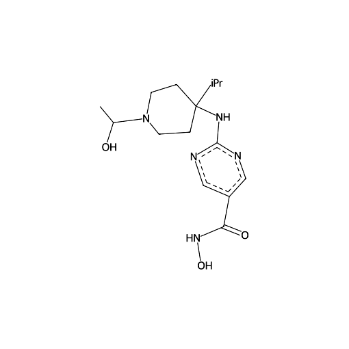 CC(O)N1CCC(Nc2ncc(C(=O)NO)cn2)(C(C)C)CC1